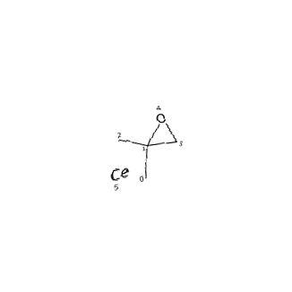 CC1(C)CO1.[Ce]